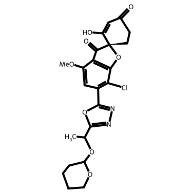 COc1cc(-c2nnc(C(C)OC3CCCCO3)o2)c(Cl)c2c1C(=O)[C@@]1(CCC(=O)C=C1O)O2